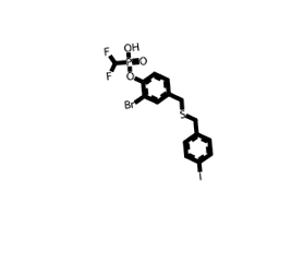 O=P(O)(Oc1ccc(CSCc2ccc(I)cc2)cc1Br)C(F)F